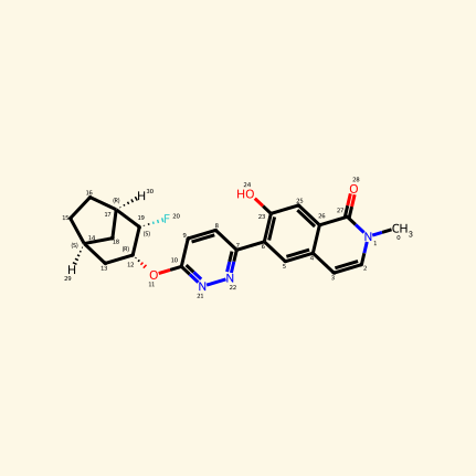 Cn1ccc2cc(-c3ccc(O[C@@H]4C[C@H]5CC[C@H](C5)[C@@H]4F)nn3)c(O)cc2c1=O